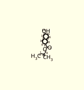 CC[C@H](C)COC(=O)c1ccc2cc(O)ccc2c1